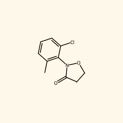 Cc1cccc(Cl)c1N1OC[CH]C1=O